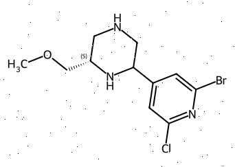 COC[C@@H]1CNCC(c2cc(Cl)nc(Br)c2)N1